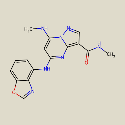 CNC(=O)c1cnn2c(NC)cc(Nc3cccc4ocnc34)nc12